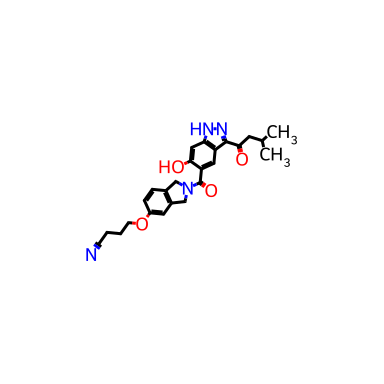 CC(C)CC(=O)c1n[nH]c2cc(O)c(C(=O)N3Cc4ccc(OCCCC#N)cc4C3)cc12